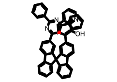 Oc1c(-c2ccc3c(c2)C2(c4ccccc4-c4ccc(-c5nc(-c6ccccc6)nc(-c6ccccc6)n5)cc42)c2ccccc2-3)ccc2cccnc12